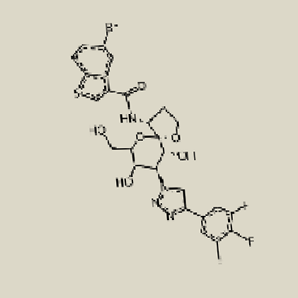 O=C(N[C@@H]1CCO[C@]12O[C@H](CO)[C@H](O)[C@H](n1cc(-c3cc(F)c(F)c(F)c3)nn1)[C@H]2O)c1csc2ccc(Br)cc12